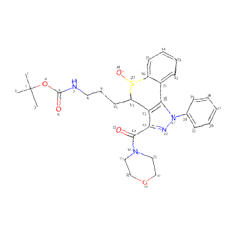 CC(C)(C)OC(=O)NCCCC1c2c(C(=O)N3CCOCC3)nn(-c3ccccc3)c2-c2ccccc2[S+]1[O-]